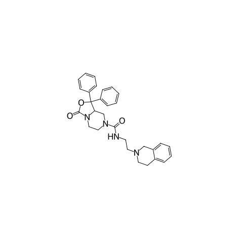 O=C(NCCN1CCc2ccccc2C1)N1CCN2C(=O)OC(c3ccccc3)(c3ccccc3)C2C1